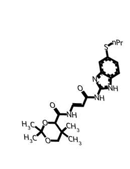 CCCSc1ccc2[nH]c(NC(=O)C=CNC(=O)C3OC(C)(C)OCC3(C)C)nc2c1